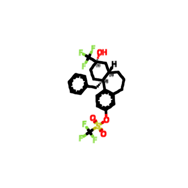 O=S(=O)(Oc1ccc2c(c1)CCC[C@H]1C[C@](O)(C(F)(F)F)CC[C@]21Cc1ccccc1)C(F)(F)F